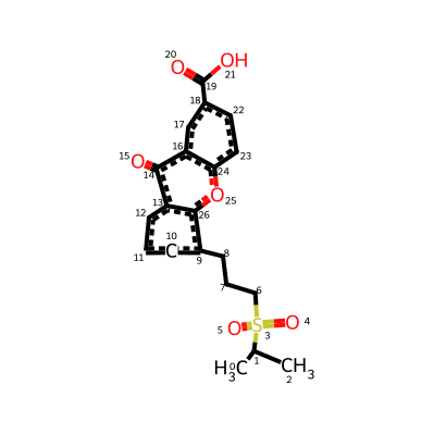 CC(C)S(=O)(=O)CCCc1cccc2c(=O)c3cc(C(=O)O)ccc3oc12